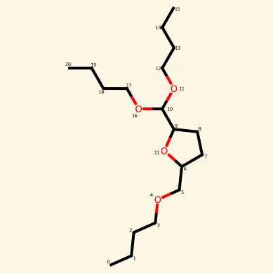 CCCCOCC1CCC(C(OCCCC)OCCCC)O1